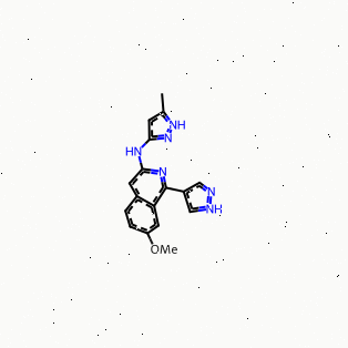 COc1ccc2cc(Nc3cc(C)[nH]n3)nc(-c3cn[nH]c3)c2c1